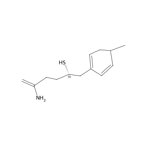 C=C(N)CC[C@H](S)CC1=CCC(C)C=C1